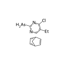 C1=CC2=CC=C1C2.CCc1cnc([AsH2])nc1Cl